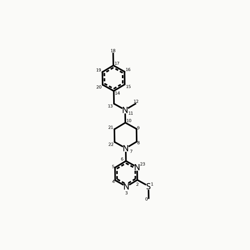 CSc1nccc(N2CCC(N(C)Cc3ccc(C)cc3)CC2)n1